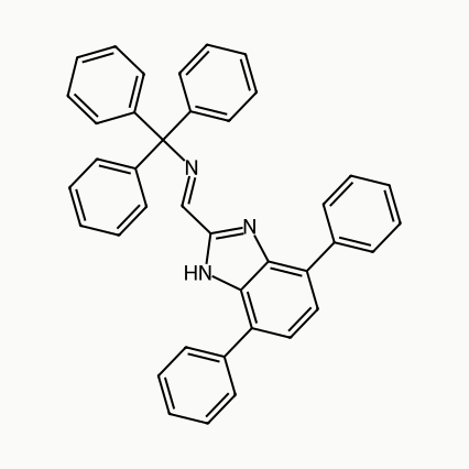 C(=N\C(c1ccccc1)(c1ccccc1)c1ccccc1)/c1nc2c(-c3ccccc3)ccc(-c3ccccc3)c2[nH]1